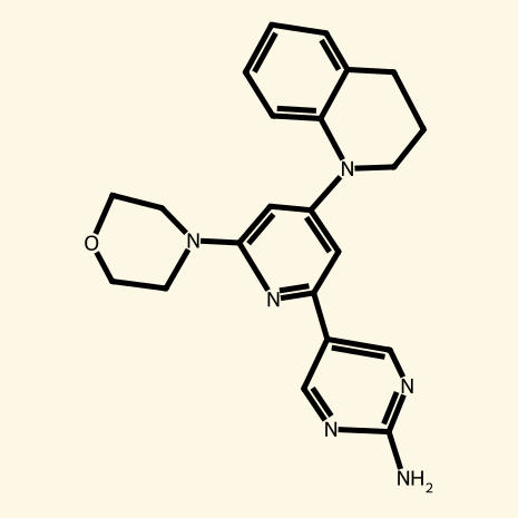 Nc1ncc(-c2cc(N3CCCc4ccccc43)cc(N3CCOCC3)n2)cn1